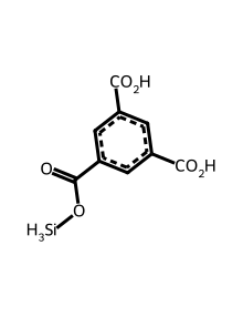 O=C(O)c1cc(C(=O)O)cc(C(=O)O[SiH3])c1